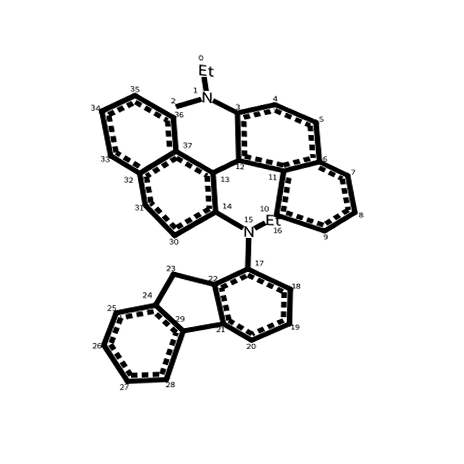 CCN(C)c1ccc2ccccc2c1-c1c(N(CC)c2cccc3c2Cc2ccccc2-3)ccc2ccccc12